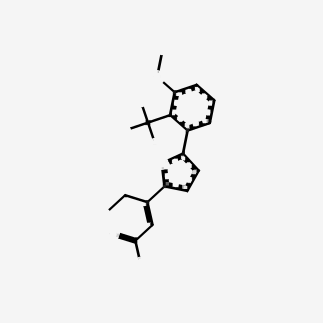 CC/C(=C\C(=O)O)c1ccc(-c2cccc(OC)c2C(F)(F)F)o1